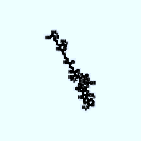 CC(C)(COP(=O)(O)OP(=O)(O)OCC1OC(C)(n2cnc3c(N)ncnc32)C(O)C1OP(=O)(O)O)C(O)C(=O)NCCC(=O)NCCSCC(=O)N[C@@H](CCCNC(=N)N)C(N)=O